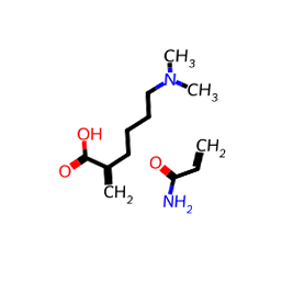 C=C(CCCCN(C)C)C(=O)O.C=CC(N)=O